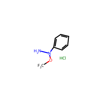 Cl.NN(OC(F)(F)F)c1ccccc1